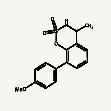 COc1ccc(-c2cccc3c2OS(=O)(=O)NC3C)cc1